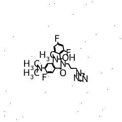 CN(C)c1cc2c(cc1F)C(=O)N(CCCn1cncn1)C(O)(c1ccc(F)cc1F)N2C